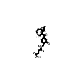 COC(=O)CCC(=O)NCc1ccc(C(=O)C2CNCCc3sccc32)cc1Cl